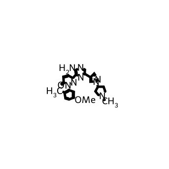 COc1ccc(C)c(-n2nc(-c3nc(-c4cnn(C5CCN(C)CC5)c4)cnc3N)ccc2=O)c1